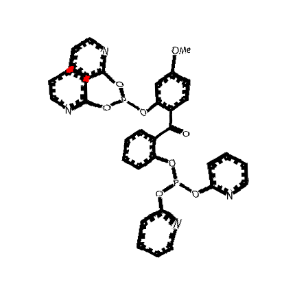 COc1ccc(C(=O)c2ccccc2OP(Oc2ccccn2)Oc2ccccn2)c(OP(Oc2ccccn2)Oc2ccccn2)c1